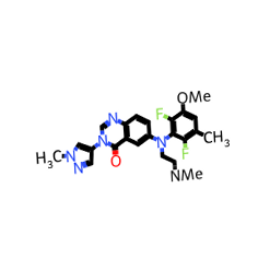 CNCCN(c1ccc2ncn(-c3cnn(C)c3)c(=O)c2c1)c1c(F)c(C)cc(OC)c1F